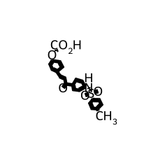 Cc1ccc(S(=O)(=O)Nc2ccc(C(=O)C=Cc3ccc(OCC(=O)O)cc3)cc2)cc1